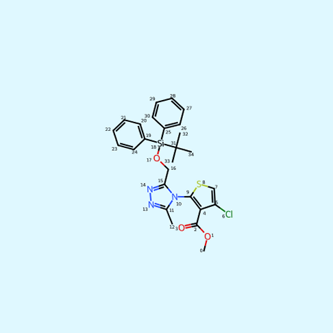 COC(=O)c1c(Cl)csc1-n1c(C)nnc1CO[Si](c1ccccc1)(c1ccccc1)C(C)(C)C